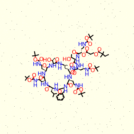 CCC(C)(C)C(=O)OCCC(=O)O[C@@H](CCNC(=O)OC(C)(C)C)C(=O)N[C@H](C(=O)N[C@@H](CCNC(=O)OC(C)(C)C)C(=O)N[C@H]1CCNC(=O)[C@H]([C@H](C)O)NC(=O)[C@H](CCNC(=O)OC(C)(C)C)NC(=O)[C@H](CCNC(=O)OC(C)(C)C)NC(=O)[C@H](CC(C)C)NC(=O)[C@@H](Cc2ccccc2)NC(=O)[C@H](CCNC(=O)OC(C)(C)C)NC1=O)C(C)O